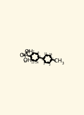 Cc1ccc(-c2ccc(P(=O)(O)O)cc2)cc1